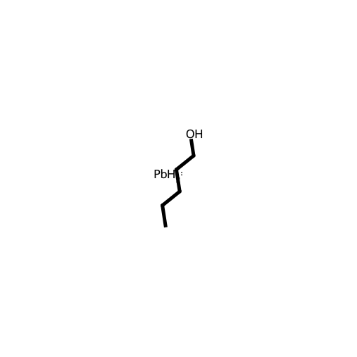 CCCCCO.[PbH2]